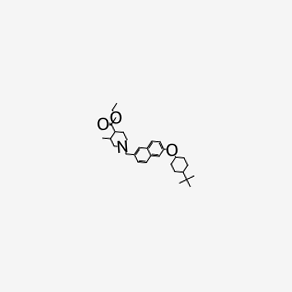 CCOC(=O)C1CCN(Cc2ccc3cc(OC4CCC(C(C)(C)C)CC4)ccc3c2)CC1C